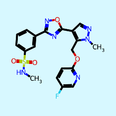 CNS(=O)(=O)c1cccc(-c2noc(-c3cnn(C)c3COc3ccc(F)cn3)n2)c1